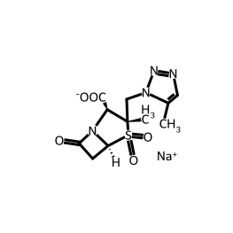 Cc1cnnn1C[C@@]1(C)[C@H](C(=O)[O-])N2C(=O)C[C@@H]2S1(=O)=O.[Na+]